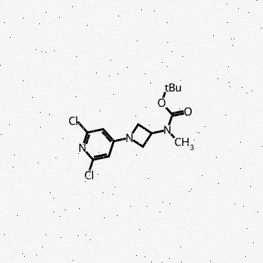 CN(C(=O)OC(C)(C)C)C1CN(c2cc(Cl)nc(Cl)c2)C1